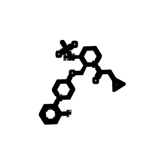 CS(=O)(=O)N[C@H]1CCCN(C(=O)CC2CC2)[C@H]1COC1CCN(c2ccccc2F)CC1